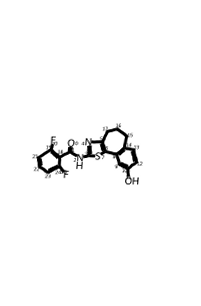 O=C(Nc1nc2c(s1)-c1cc(O)ccc1CCC2)c1c(F)cccc1F